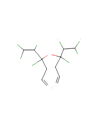 C=CCC(F)(OC(F)(CC=C)C(F)C(F)F)C(F)C(F)F